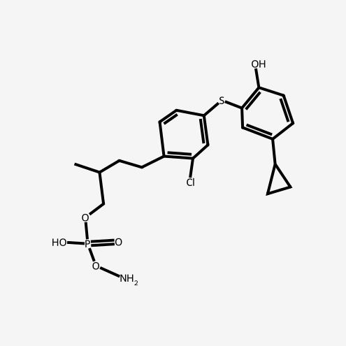 CC(CCc1ccc(Sc2cc(C3CC3)ccc2O)cc1Cl)COP(=O)(O)ON